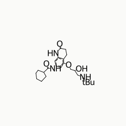 CC(C)(C)NCC(O)COc1cc(NC(=O)C2CCCCC2)cc2c1CCC(=O)N2